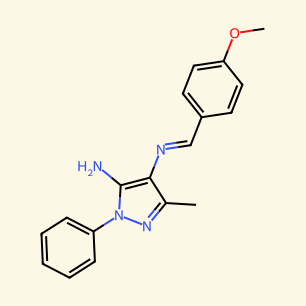 COc1ccc(C=Nc2c(C)nn(-c3ccccc3)c2N)cc1